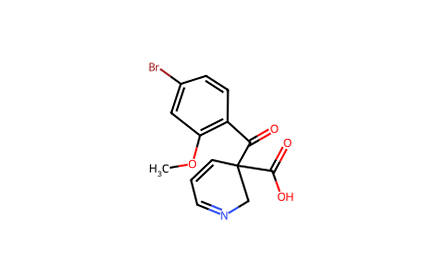 COc1cc(Br)ccc1C(=O)C1(C(=O)O)C=CC=NC1